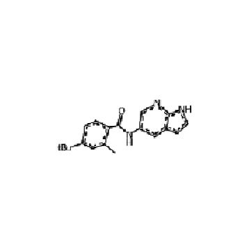 Cc1cc(C(C)(C)C)ccc1C(=O)Nc1cnc2[nH]ccc2c1